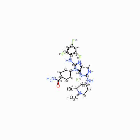 CC(C)(C)C1[C@H](F)[C@@H](Nc2ncc3nc(Nc4c(F)cc(F)cc4F)n(C4CCC(C(N)=O)CC4)c3n2)CCN1C(=O)O